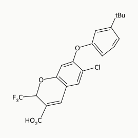 CC(C)(C)c1cccc(Oc2cc3c(cc2Cl)C=C(C(=O)O)C(C(F)(F)F)O3)c1